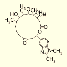 Cc1nc2cc(C3CC4OC4CCCC(C)C(O)C(C)C(=O)C(C)(C)C(O)CC(=O)O3)ccc2n1C